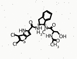 CC(=O)NC(CO)C(=O)N(C)[C@@H]1c2ccccc2C[C@H]1NC(=O)c1cc2sc(Cl)c(Cl)c2[nH]1